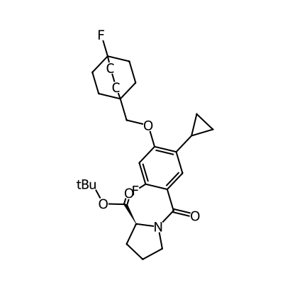 CC(C)(C)OC(=O)[C@@H]1CCCN1C(=O)c1cc(C2CC2)c(OCC23CCC(F)(CC2)CC3)cc1F